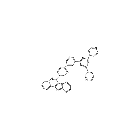 c1cncc(-c2nc(-c3ccncc3)nc(-c3cccc(-c4ccc(-c5nc6ccccc6c6nc7ccccn7c56)cc4)c3)n2)c1